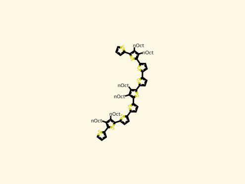 CCCCCCCCc1c(-c2cccs2)sc(-c2ccc(-c3ccc(-c4sc(-c5ccc(-c6ccc(-c7sc(-c8cccs8)c(CCCCCCCC)c7CCCCCCCC)s6)s5)c(CCCCCCCC)c4CCCCCCCC)s3)s2)c1CCCCCCCC